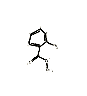 NOC(=O)c1ccccc1Br